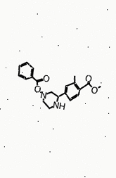 COC(=O)c1ccc(C2CN(OC(=O)c3ccccc3)CCN2)cc1C